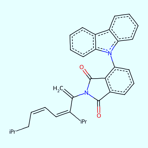 C=C(/C(=C\C=C/CC(C)C)C(C)C)N1C(=O)c2cccc(-n3c4ccccc4c4ccccc43)c2C1=O